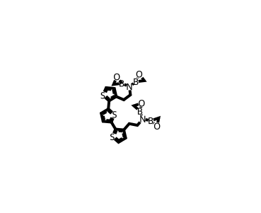 c1cc(CCN(B2CO2)B2CO2)c(-c2ccc(-c3sccc3CCN(B3CO3)B3CO3)s2)s1